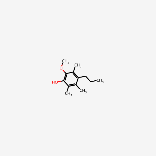 CCCc1c(C)c(C)c(O)c(OC)c1C